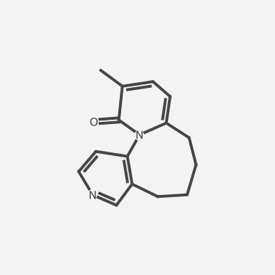 Cc1ccc2n(c1=O)-c1ccncc1CCCC2